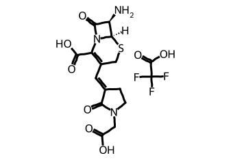 N[C@@H]1C(=O)N2C(C(=O)O)=C(/C=C3\CCN(CC(=O)O)C3=O)CS[C@H]12.O=C(O)C(F)(F)F